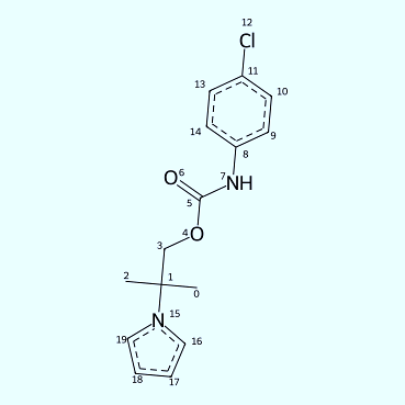 CC(C)(COC(=O)Nc1ccc(Cl)cc1)n1cccc1